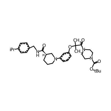 CC(C)c1ccc(CNC(=O)[C@@H]2CCCN(c3cccc(OC(C)(C)C(=O)N4CCN(C(=O)OC(C)(C)C)CC4)c3)C2)cc1